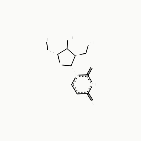 [2H]C[C@H]1O[C@@H](n2ccc(=O)[nH]c2=O)[C@H](CO)C1O